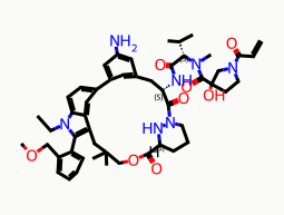 C=CC(=O)N1CCC(O)(C(=O)N(C)[C@H](C(=O)N[C@H]2Cc3cc(N)cc(c3)-c3ccc4c(c3)c(c(-c3ccccc3COC)n4CC)CC(C)(C)COC(=O)[C@@H]3CCCN(N3)C2=O)C(C)C)C1